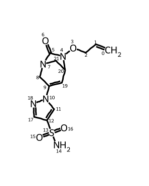 C=CCON1C(=O)N2CC(n3cc(S(N)(=O)=O)cn3)=CC1C2